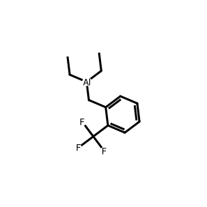 C[CH2][Al]([CH2]C)[CH2]c1ccccc1C(F)(F)F